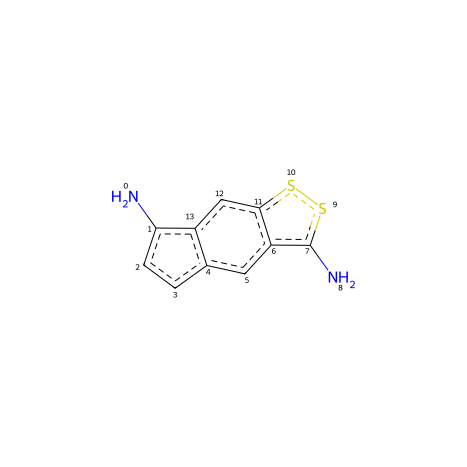 Nc1ccc2cc3c(N)ssc3cc12